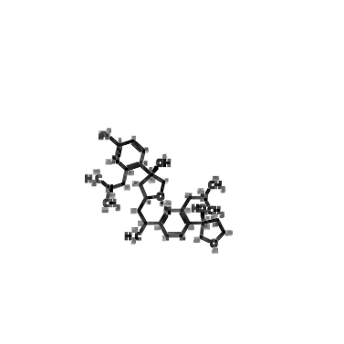 CC(C)c1ccc([C@]2(O)COC(CC(C)c3ccc([C@]4(O)CCOC4)c(CN(C)C)n3)C2)c(CN(C)C)n1